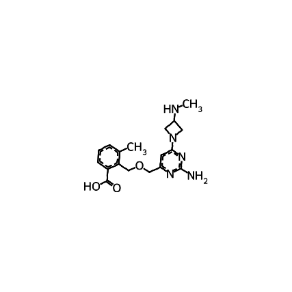 CNC1CN(c2cc(COCc3c(C)cccc3C(=O)O)nc(N)n2)C1